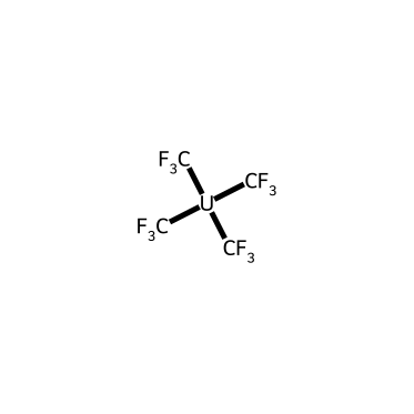 F[C](F)(F)[U]([C](F)(F)F)([C](F)(F)F)[C](F)(F)F